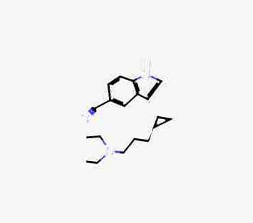 CCN(CC)CCC[C@@H]1C[C@H]1c1c[nH]c2ccc(C#N)cc12